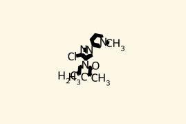 C=CCN(C(=O)C(C)C)c1cn(C2=CN(C)CC=C2)nc1Cl